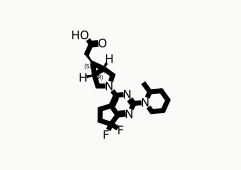 CC1CCCCN1c1nc(N2C[C@@H]3[C@@H](CC(=O)O)[C@@H]3C2)c2c(n1)C(F)(F)CC2